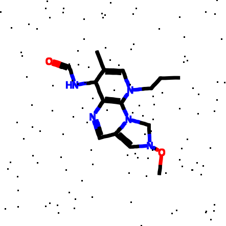 CCCN1C=C(C)C(NC=O)C2=C1N1CN(OC)C=C1C=N2